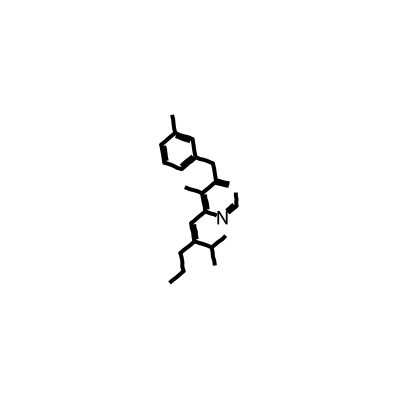 C=C(Cc1cccc(C)c1)/C(C)=C(/C=C(/CCC)C(C)C)\N=C/C